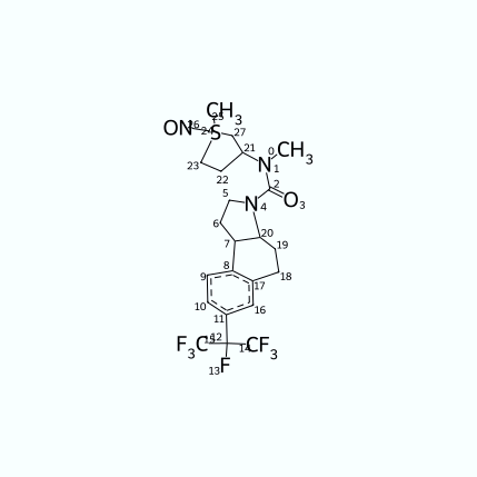 CN(C(=O)N1CCC2c3ccc(C(F)(C(F)(F)F)C(F)(F)F)cc3CCC21)C1CCS(C)(N=O)C1